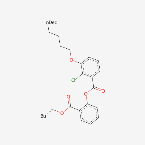 CCCCCCCCCCCCCCOc1cccc(C(=O)Oc2ccccc2C(=O)OC[C@@H](C)CC)c1Cl